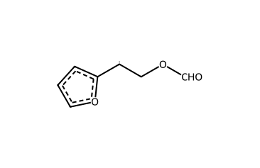 O=COC[CH]c1ccco1